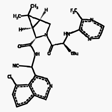 CC(C)(C)[C@H](Nc1nccnc1C(F)(F)F)C(=O)N1C[C@H]2[C@@H]([C@H]1C(=O)NC(C#N)c1cncc3cccc(Cl)c13)C2(C)C